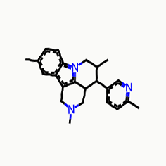 Cc1ccc2c(c1)c1c3n2CC(C)C(c2ccc(C)nc2)C3CN(C)C1